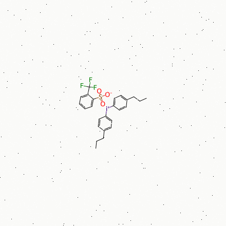 CCCc1ccc([I+]c2ccc(CCC)cc2)cc1.O=S(=O)([O-])c1ccccc1C(F)(F)F